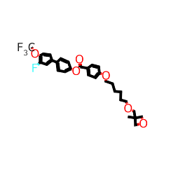 CC1(COCCCCCCOc2ccc(C(=O)Oc3ccc(-c4ccc(OC(F)(F)F)c(F)c4)cc3)cc2)COC1